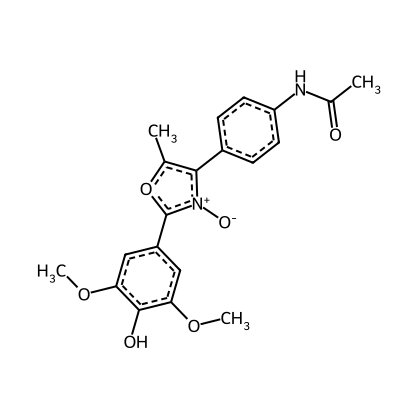 COc1cc(-c2oc(C)c(-c3ccc(NC(C)=O)cc3)[n+]2[O-])cc(OC)c1O